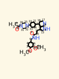 COc1ccc(CNC(=O)/C=C/c2c[nH]c3nccc(-c4ccc(N5CCN(C(C)=O)CC5)cc4)c23)cc1OC